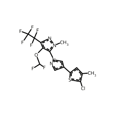 Cc1cc(-c2cnn(-c3c(OC(F)F)c(C(F)(F)C(F)(F)F)nn3C)c2)sc1Cl